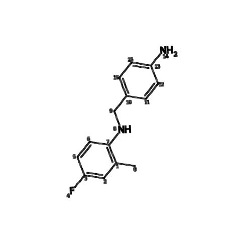 Cc1cc(F)ccc1NCc1ccc(N)cc1